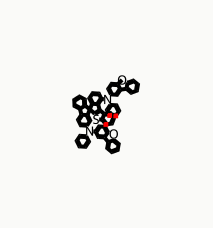 c1ccc(N(c2ccc3c(c2)C2(c4ccccc4-3)c3cccc(N(c4ccccc4)c4ccc5oc6ccccc6c5c4)c3-c3c2sc2ccccc32)c2ccc3oc4ccccc4c3c2)cc1